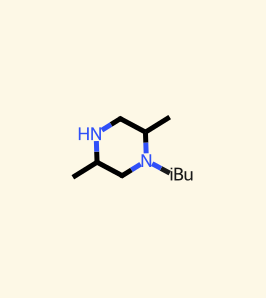 CCC(C)N1CC(C)NCC1C